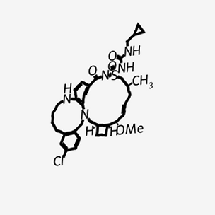 CO[C@H]1/C=C/C[C@H](C)CS(=O)(NC(=O)NCC2CC2)=NC(=O)c2ccc3c(c2)N(Cc2ccc(Cl)cc2CCCCN3)C[C@@H]2CC[C@H]21